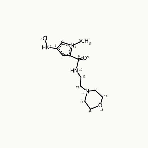 Cn1cc(NCl)cc1C(=O)NCCN1CCOCC1